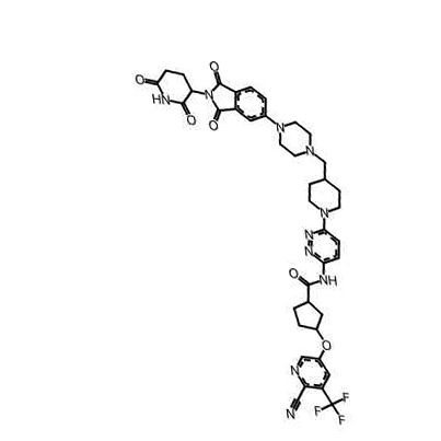 N#Cc1ncc(OC2CCC(C(=O)Nc3ccc(N4CCC(CN5CCN(c6ccc7c(c6)C(=O)N(C6CCC(=O)NC6=O)C7=O)CC5)CC4)nn3)C2)cc1C(F)(F)F